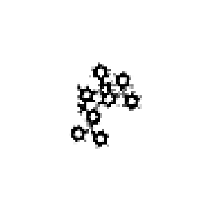 Cc1cc2c3c(c1)C(C)(C)c1cc(N(c4ccccc4)c4ccccc4)ccc1B3c1ccc(N(c3ccccc3)c3ccccc3)c3c4oc5ccccc5c4n-2c13